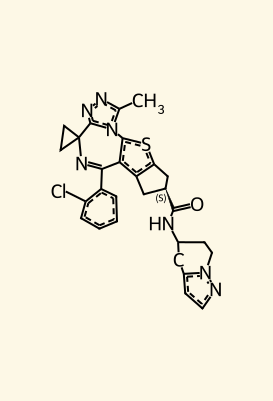 Cc1nnc2n1-c1sc3c(c1C(c1ccccc1Cl)=NC21CC1)C[C@H](C(=O)NC1CCn2nccc2C1)C3